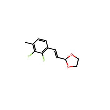 Cc1ccc(C=CC2OCCO2)c(F)c1F